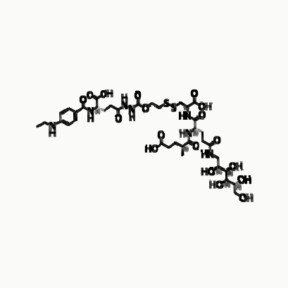 CCNc1ccc(C(=O)N[C@@H](CCC(=O)NNC(=O)OCCSSC[C@H](NC(=O)[C@H](CCC(=O)NC[C@H](O)[C@@H](O)[C@H](O)[C@H](O)CO)NC(=O)[C@@H](C)CCC(=O)O)C(=O)O)C(=O)O)cc1